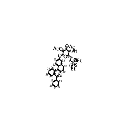 CCOP(=O)(CC[C@H]1O[C@H](Oc2ccc3cc(N=C(c4ccccc4)c4ccccc4)ccc3c2)[C@@H](OC(C)=O)[C@@H](OC(C)=O)[C@@H]1O)OCC